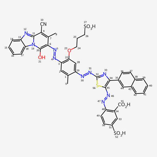 Cc1cc(N=Nc2c(C)c(C#N)c3nc4ccccc4n3c2O)c(OCCCS(=O)(=O)O)cc1N=Nc1nc(-c2ccc3ccccc3c2)c(N=Nc2ccc(S(=O)(=O)O)cc2C(=O)O)s1